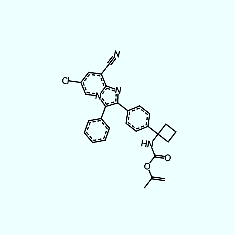 C=C(C)OC(=O)NC1(c2ccc(-c3nc4c(C#N)cc(Cl)cn4c3-c3ccccc3)cc2)CCC1